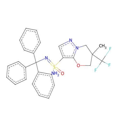 CC1(C(F)(F)F)COc2c(S(N)(=O)=NC(c3ccccc3)(c3ccccc3)c3ccccc3)cnn2C1